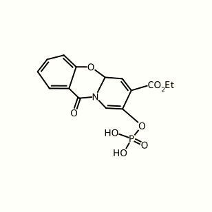 CCOC(=O)C1=CC2Oc3ccccc3C(=O)N2C=C1OP(=O)(O)O